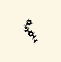 CC(C)NC(=O)c1ccc(-c2csc(Nc3ccccn3)n2)cc1